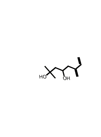 C=CC(=C)CC(O)CC(C)(C)O